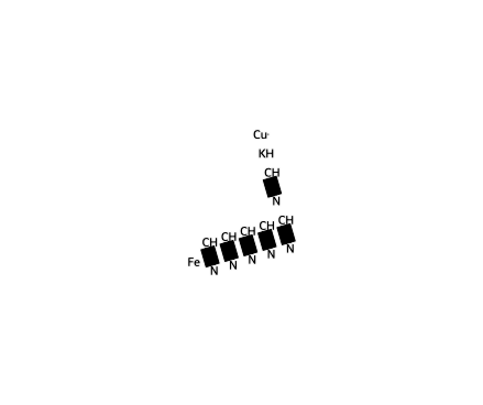 C#N.C#N.C#N.C#N.C#N.C#N.[Cu].[Fe].[KH]